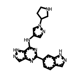 c1nn(C2CCNC2)cc1Nc1nc(-c2ccc3cn[nH]c3c2)nc2cn[nH]c12